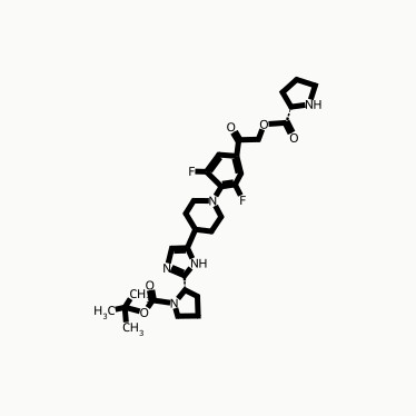 CC(C)(C)OC(=O)N1CCC[C@H]1c1ncc(C2CCN(c3c(F)cc(C(=O)COC(=O)[C@@H]4CCCN4)cc3F)CC2)[nH]1